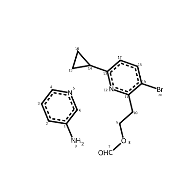 Nc1cccnc1.O=COCCc1nc(C2CC2)ccc1Br